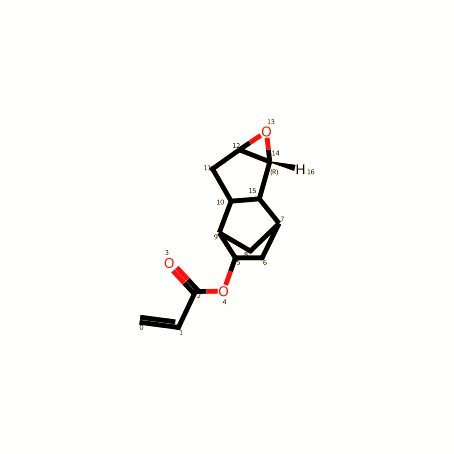 C=CC(=O)OC1CC2CC1C1CC3O[C@@H]3C21